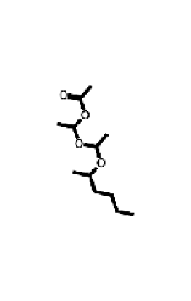 CCCCC(C)OC(C)OC(C)OC(C)=O